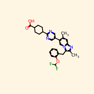 Cc1cc2nc(C)c(Cc3ccccc3OC(F)F)n2cc1-c1cnc(C2CCC(C(=O)O)CC2)nc1